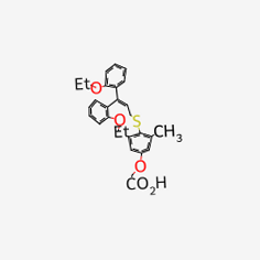 CCOc1ccccc1C(=CCSc1ccc(OCC(=O)O)cc1C)c1ccccc1OCC